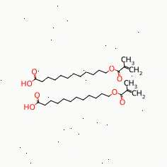 C=C(C)C(=O)OCCCCCCCCCCCC(=O)O.C=C(C)C(=O)OCCCCCCCCCCCC(=O)O